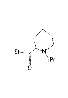 CCC(=O)C1CCCCN1C(C)C